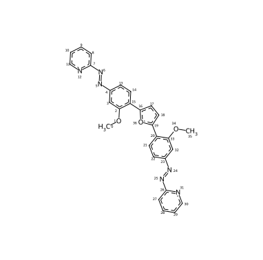 COc1cc(N=Nc2ccccn2)ccc1-c1ccc(-c2ccc(N=Nc3ccccn3)cc2OC)o1